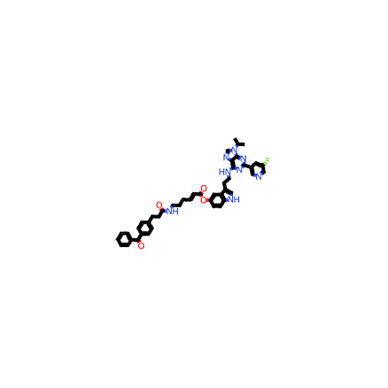 CC(C)n1cnc2c(NCCc3c[nH]c4ccc(OC(=O)/C=C/CCCNC(=O)CCc5ccc(C(=O)c6ccccc6)cc5)cc34)nc(-c3cncc(F)c3)nc21